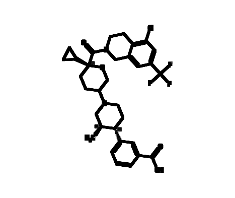 C[C@H]1CN(C2CC[C@@](C(=O)N3CCc4c(Cl)cc(C(F)(F)F)cc4C3)(C3CC3)OC2)CC[C@@H]1c1cccc(C(=O)O)c1